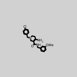 COc1cccc(CNC(=O)C2=C(N)CCN(Cc3ccc(Cl)cc3)C2)c1